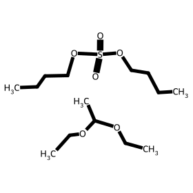 CCCCOS(=O)(=O)OCCCC.CCOC(C)OCC